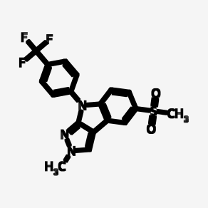 Cn1cc2c3cc(S(C)(=O)=O)ccc3n(-c3ccc(C(F)(F)F)cc3)c2n1